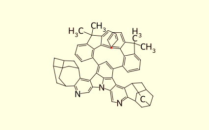 CC1(C)c2ccccc2-c2c(-c3cc(-c4cccc5c4-c4ccccc4C5(C)C)c4c5c6c(ncc5n5c7cnc8c(c7c3c45)C3CC4CC(CC8C4)C3)C3CC4CC5CC6CC45C3)cccc21